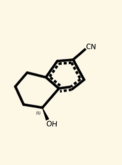 N#Cc1ccc2c(c1)CCC[C@@H]2O